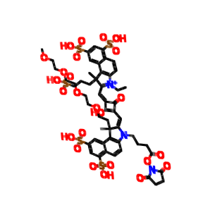 CC[N+]1=C(/C=C2\C(=O)C(/C=C3/N(CCCC(=O)ON4C(=O)CCC4=O)c4ccc5c(S(=O)(=O)O)cc(S(=O)(=O)O)cc5c4C3(C)CCOCCOCCOCCOC)=C2O)C(C)(CCCS(=O)(=O)O)c2c1ccc1c(S(=O)(=O)O)cc(S(=O)(=O)O)cc21